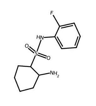 NC1CCCCC1S(=O)(=O)Nc1ccccc1F